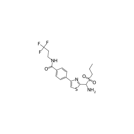 CCCS(=O)(=O)C(N)c1nc(-c2ccc(C(=O)NCCC(F)(F)F)cc2)cs1